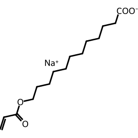 C=CC(=O)OCCCCCCCCCCCC(=O)[O-].[Na+]